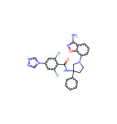 Nc1noc2c(N3CCC(NC(=O)c4c(Cl)cc(-n5cnnc5)cc4Cl)(c4ccccc4)C3)cccc12